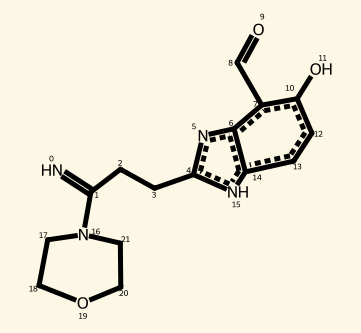 N=C(CCc1nc2c(C=O)c(O)ccc2[nH]1)N1CCOCC1